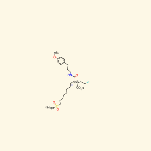 CCCCCCCS(=O)(=O)CCCCCC/C=C/[C@H](C(=O)NCCCc1ccc(OCCCC)cc1)[C@@H](CCF)C(=O)O